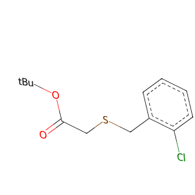 CC(C)(C)OC(=O)CSCc1ccccc1Cl